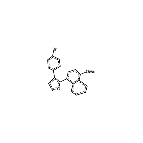 COc1ccc(-c2oncc2-c2ccc(Br)cc2)c2ccccc12